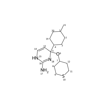 CC1CCC(C2(OC3CCSCC3)C=CNC(N)=N2)CC1